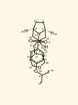 O=S(=O)(c1ccc(OC(F)F)cc1)N1[C@@H]2CC[C@H]1CC(O)(CN1CCOCC1)C2